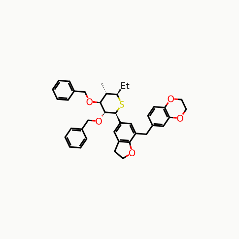 CC[C@H]1S[C@@H](c2cc3c(c(Cc4ccc5c(c4)OCCO5)c2)OCC3)[C@H](OCc2ccccc2)[C@@H](OCc2ccccc2)[C@@H]1C